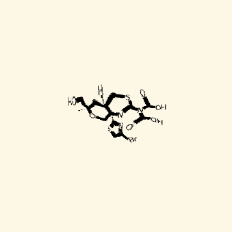 C[C@]1(CO)C[C@H]2CSC(N(C(=O)O)C(=O)O)=N[C@@]2(c2nc(Br)cs2)CO1